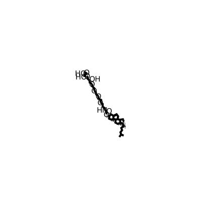 CC(C)CCC[C@H](C)[C@@H]1CCC2C3CC=C4C[C@H](OC(=O)NCCCOCCOCCOCCOCC(O)COP(=O)(O)O)CC[C@@]4(C)C3CC[C@]21C